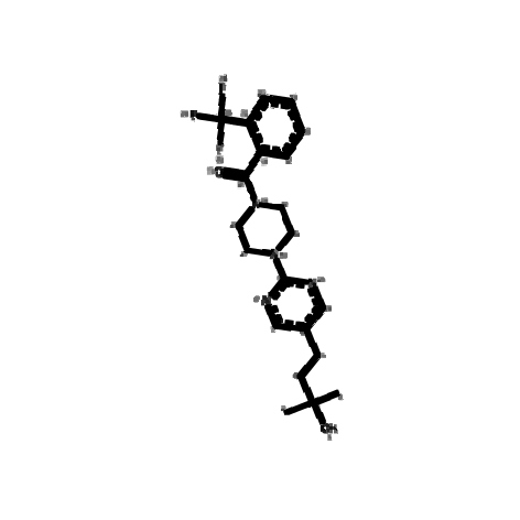 CC(C)(O)CCc1cnc(N2CCN(C(=O)c3ccccc3C(F)(F)F)CC2)nc1